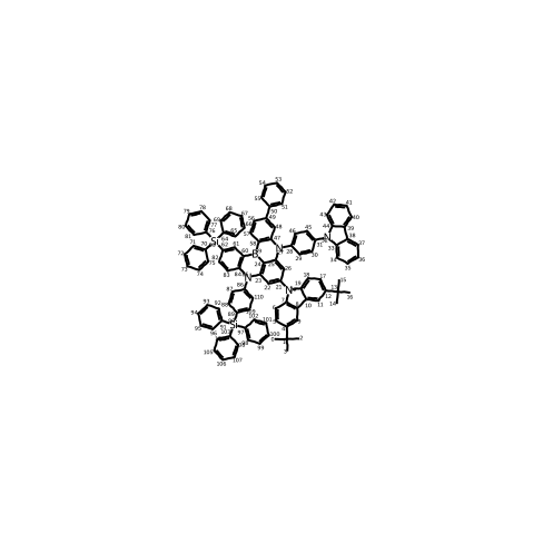 CC(C)(C)c1ccc2c(c1)c1cc(C(C)(C)C)ccc1n2-c1cc2c3c(c1)N(c1ccc(-n4c5ccccc5c5ccccc54)cc1)c1cc(-c4ccccc4)ccc1B3c1cc([Si](c3ccccc3)(c3ccccc3)c3ccccc3)ccc1N2c1ccc([Si](c2ccccc2)(c2ccccc2)c2ccccc2)cc1